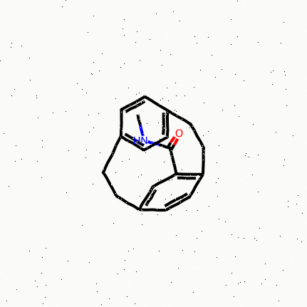 CNC(=O)c1cc2ccc1CCc1ccc(cc1)CC2